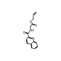 C=CCOC(=O)CNC(=O)c1ccc2ccccc2n1